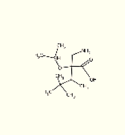 CC(C(C)(C)C)C(CN)(O[SiH](C)C)C(=O)O